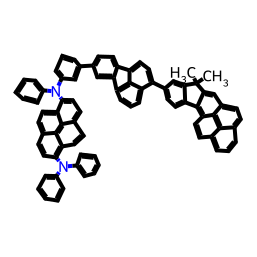 CC1(C)c2cc(-c3ccc4c5c(cccc35)-c3cc(-c5cccc(N(c6ccccc6)c6ccc7ccc8c(N(c9ccccc9)c9ccccc9)ccc9ccc6c7c98)c5)ccc3-4)ccc2-c2c1cc1ccc3cccc4ccc2c1c34